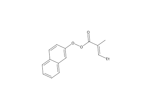 CCC=C(C)C(=O)OOc1ccc2ccccc2c1